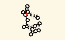 CC1(c2nc3c(nc2-n2c4ccccc4c4cc5ccccc5cc42)-c2ccccc2C3(C)Cc2ccc3c(c2)c2cc4ccccc4cc2n3-c2nc3c(nc2-c2ccc4oc5ccccc5c4c2)oc2ccccc23)C=Cc2c(oc3ccccc23)C1